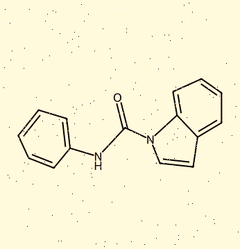 O=C(Nc1ccccc1)n1[c]cc2ccccc21